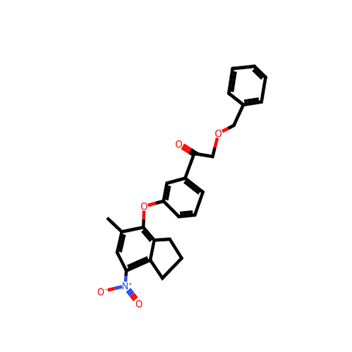 Cc1cc([N+](=O)[O-])c2c(c1Oc1cccc(C(=O)COCc3ccccc3)c1)CCC2